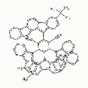 Cc1cc2c3ccc4c5ccccc5sc4c3n(-c3c(-n4c5ccccc5c5ccccc54)c(C#N)c(-n4c5ccc(C(C)(C)C)cc5c5ccc6c7ccccc7sc6c54)c(C#N)c3-n3c4ccccc4c4ccccc43)c2cc1C